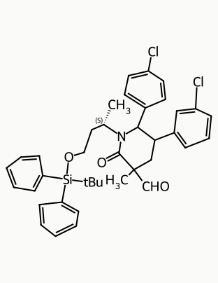 C[C@@H](CCO[Si](c1ccccc1)(c1ccccc1)C(C)(C)C)N1C(=O)C(C)(C=O)CC(c2cccc(Cl)c2)C1c1ccc(Cl)cc1